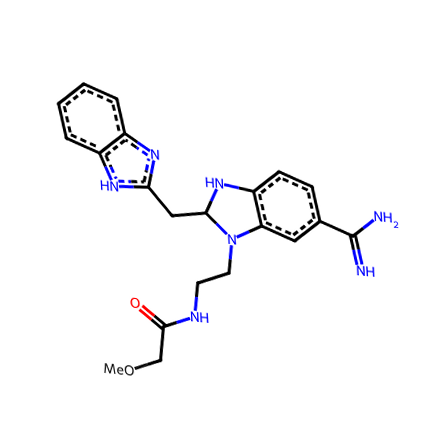 COCC(=O)NCCN1c2cc(C(=N)N)ccc2NC1Cc1nc2ccccc2[nH]1